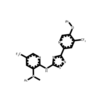 CC(=O)N(C)c1cc(C(F)(F)F)cnc1Nc1nc(-c2cc(C(F)(F)F)c(OC(C)C)cn2)ns1